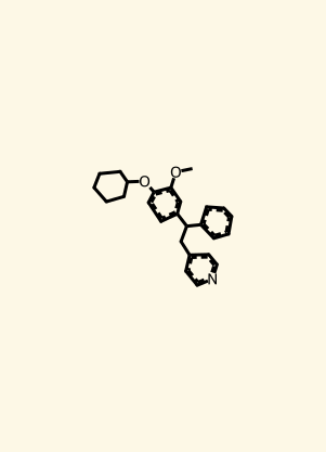 COc1cc(C(Cc2ccncc2)c2ccccc2)ccc1OC1CCCCC1